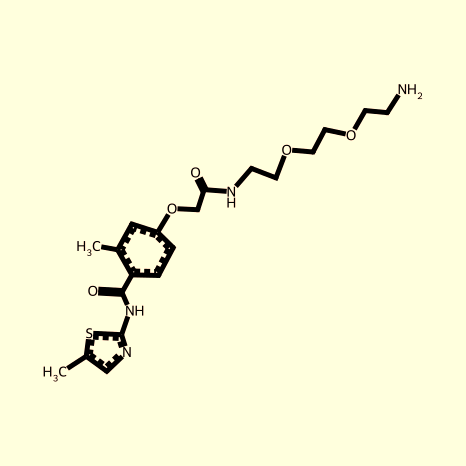 Cc1cnc(NC(=O)c2ccc(OCC(=O)NCCOCCOCCN)cc2C)s1